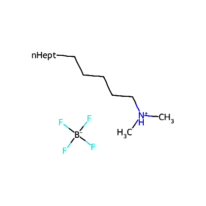 CCCCCCCCCCCC[NH+](C)C.F[B-](F)(F)F